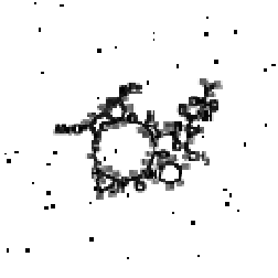 C=C[C@@H]1C[C@]1(NC(=O)[C@@H]1C[C@@H]2CN1C(=O)[C@H](C1CCCCC1)NC(=O)O[C@@H]1CCC[C@@H]1CCCc1cc3c(cc(OCC)nc3cc1OC)O2)C(=O)NS(=O)(=O)C1CC1